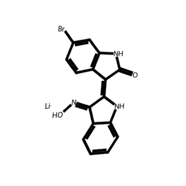 O=C1Nc2cc(Br)ccc2/C1=C1/Nc2ccccc2/C1=N\O.[Li]